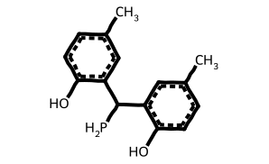 Cc1ccc(O)c(C(P)c2cc(C)ccc2O)c1